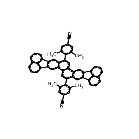 Cc1cc(C#N)cc(C)c1-c1cc2c3cc4c(cc3c(-c3c(C)cc(C#N)cc3C)cc2c2cc3c(cc12)-c1cccc2cccc-3c12)-c1cccc2cccc-4c12